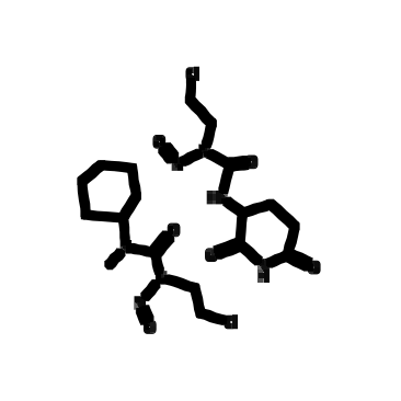 CN(C(=O)N(CCCl)N=O)C1CCCCC1.O=NN(CCCl)C(=O)NC1CCC(=O)NC1=O